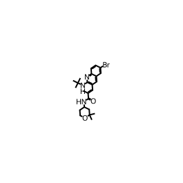 C/C(=C\c1cc2cc(Br)ccc2nc1NC(C)(C)C)C(=O)NC1CCOC(C)(C)C1